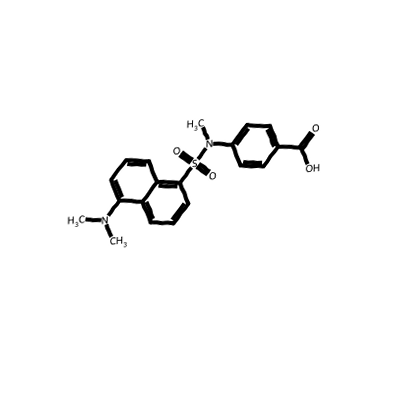 CN(C)c1cccc2c(S(=O)(=O)N(C)c3ccc(C(=O)O)cc3)cccc12